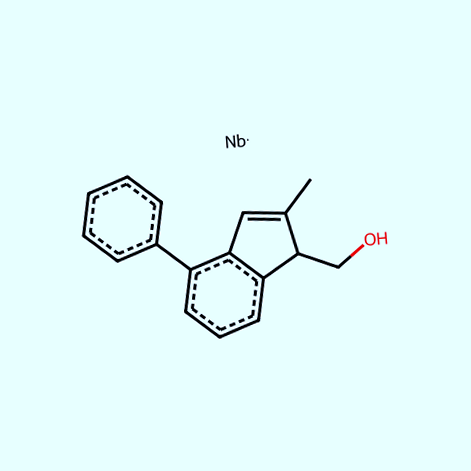 CC1=Cc2c(-c3ccccc3)cccc2C1CO.[Nb]